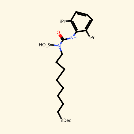 CCCCCCCCCCCCCCCCCCN(C(=O)Nc1c(C(C)C)cccc1C(C)C)S(=O)(=O)O